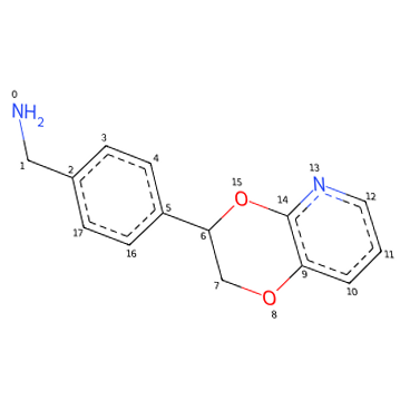 NCc1ccc(C2COc3cccnc3O2)cc1